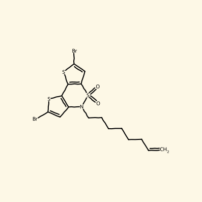 C=CCCCCCCN1c2cc(Br)sc2-c2sc(Br)cc2S1(=O)=O